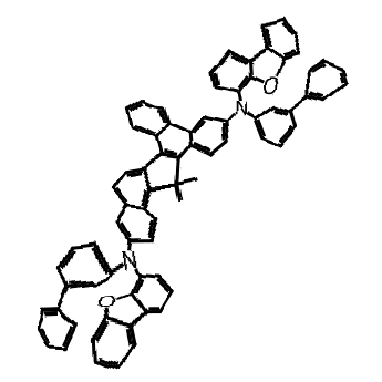 CC1(C)c2c(ccc3cc(N(c4cccc(-c5ccccc5)c4)c4cccc5c4oc4ccccc45)ccc23)-c2c1c1ccc(N(c3cccc(-c4ccccc4)c3)c3cccc4c3oc3ccccc34)cc1c1ccccc21